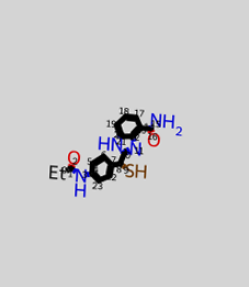 CCC(=O)Nc1ccc(C(S)c2nc3c(C(N)=O)cccc3[nH]2)cc1